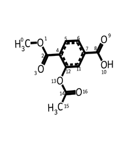 COC(=O)c1ccc(C(=O)O)cc1OC(C)=O